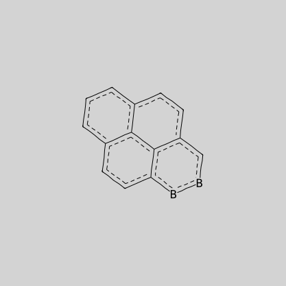 b1bc2ccc3cccc4ccc(c1)c2c34